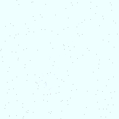 CCCCCCCCCCCCCCCCCC/C(=C\C(=O)O)C(=O)O.[AlH3]